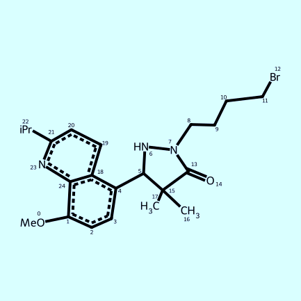 COc1ccc(C2NN(CCCCBr)C(=O)C2(C)C)c2ccc(C(C)C)nc12